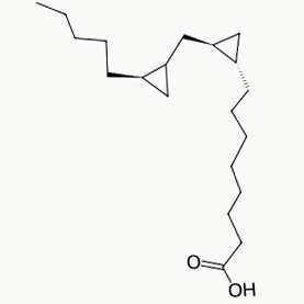 CCCCC[C@@H]1CC1C[C@H]1C[C@@H]1CCCCCCCC(=O)O